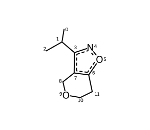 CC(C)c1noc2c1COCC2